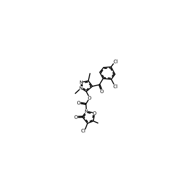 Cc1nn(C)c(OC(=O)n2oc(C)c(Cl)c2=O)c1C(=O)c1ccc(Cl)cc1Cl